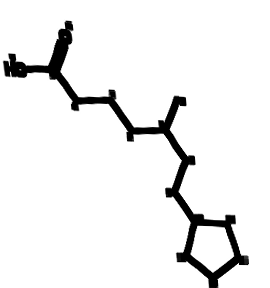 CC(CCCC(=O)O)CCC1CCCC1